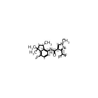 C[C@H]1CC(C)(C)c2c(F)ccc(NC(=O)c3cn(C)nc3C(F)F)c21